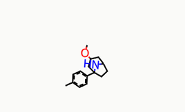 COC1CC2CCC(c3ccc(C)cc3)(C1)N2